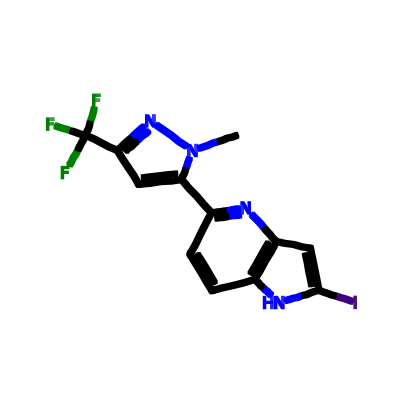 Cn1nc(C(F)(F)F)cc1-c1ccc2[nH]c(I)cc2n1